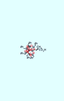 CC(=CC[Si]12O[Si]3(CC(C)C)O[Si]4(CC(C)C)O[Si](CC(C)C)(O1)O[Si]1(CC(C)C)O[Si](CC(C)C)(O2)O[Si](CC(C)C)(O3)O[Si](CC(C)C)(O4)O1)C(=O)O